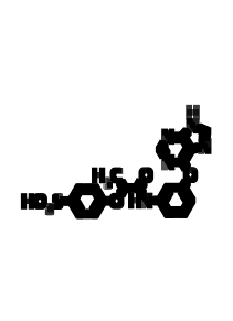 CC(Oc1ccc(S(=O)(=O)O)cc1)C(=O)Nc1cccc(Oc2ncnc3[nH]cnc23)c1